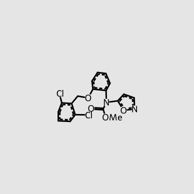 COC(=O)N(c1ccno1)c1ccccc1OCc1c(Cl)cccc1Cl